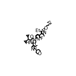 CCc1c(-c2ccc(NC(=O)[C@@H](NC(=O)c3cnn(C4CCOCC4)c3C)C(C3CC3)C3CC3)nc2F)c(C)nn1COCC[Si](C)(C)C